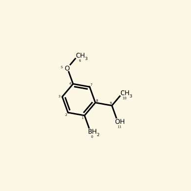 Bc1ccc(OC)cc1C(C)O